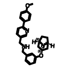 COc1ccc(-c2ccc(CNCc3cccc(O[C@@H]4C[C@H]5CC[C@@H](C4)N5C)c3)cn2)cc1